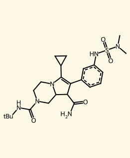 CN(C)S(=O)(=O)Nc1cccc(C2=C(C3CC3)N3CCN(C(=O)NC(C)(C)C)CC3C2C(N)=O)c1